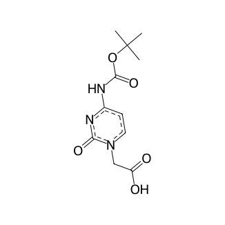 CC(C)(C)OC(=O)Nc1ccn(CC(=O)O)c(=O)n1